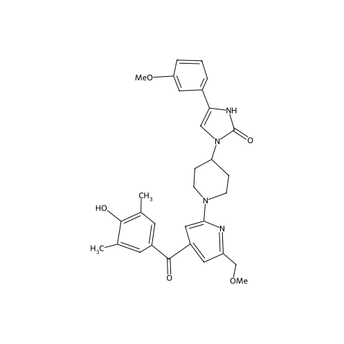 COCc1cc(C(=O)c2cc(C)c(O)c(C)c2)cc(N2CCC(n3cc(-c4cccc(OC)c4)[nH]c3=O)CC2)n1